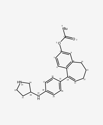 CC(C)(C)C(=O)Oc1ccc2c(c1)CCCC=C2c1ccc(NC2CCNC2)cc1